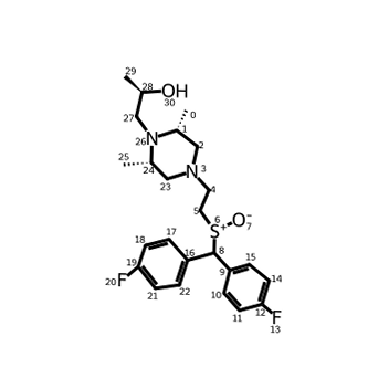 C[C@@H]1CN(CC[S+]([O-])C(c2ccc(F)cc2)c2ccc(F)cc2)C[C@H](C)N1C[C@@H](C)O